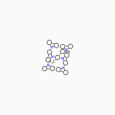 N#Cc1cccc(-c2cc(-n3c4cc(-n5c6ccccc6c6ccccc65)ccc4c4ccc(-n5c6ccccc6c6ccccc65)cc43)c(C(F)(F)F)cc2-n2c3cc(-n4c5ccccc5c5ccccc54)ccc3c3ccc(-n4c5ccccc5c5ccccc54)cc32)c1